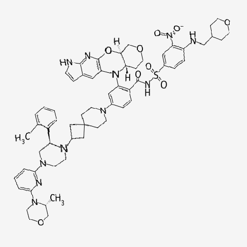 Cc1ccccc1[C@@H]1CN(c2cccc(N3CCOC[C@H]3C)n2)CCN1C1CC2(CCN(c3ccc(C(=O)NS(=O)(=O)c4ccc(NCC5CCOCC5)c([N+](=O)[O-])c4)c(N4c5cc6cc[nH]c6nc5O[C@H]5COCC[C@@H]54)c3)CC2)C1